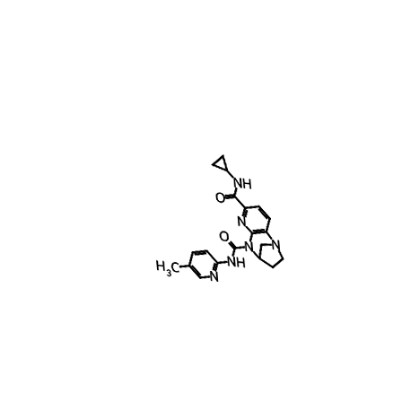 Cc1ccc(NC(=O)N2c3nc(C(=O)NC4CC4)ccc3N3CCC2C3)nc1